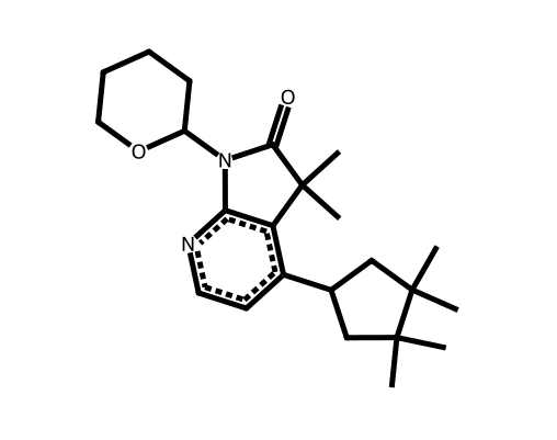 CC1(C)C(=O)N(C2CCCCO2)c2nccc(C3CC(C)(C)C(C)(C)C3)c21